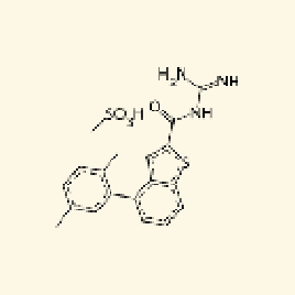 CS(=O)(=O)O.Cc1ccc(C)c(-c2cccc3sc(C(=O)NC(=N)N)cc23)c1